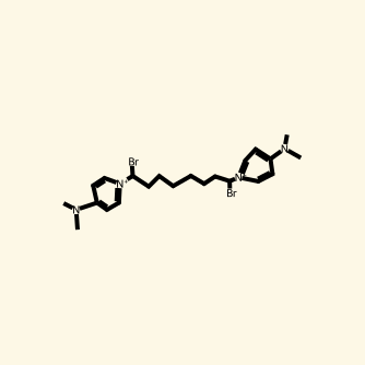 CN(C)c1cc[n+](C(Br)CCCCCCC(Br)[n+]2ccc(N(C)C)cc2)cc1